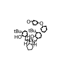 CC(C)(C)c1cccc(C=[N+]2[Cr][N+](=Cc3cccc(C(C)(C)C)c3O)[C@@H]3CCCC[C@H]32)c1O.[O-]c1ccc(Oc2ccccc2)cc1